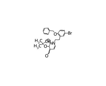 CC(C)(C)OC1C(=O)N(CCc2cc(Br)ccc2OCc2ccccc2)C=CC1=C=O